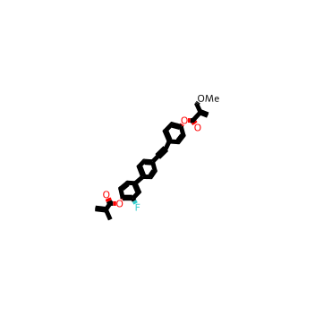 C=C(C)C(=O)Oc1ccc(-c2ccc(C#Cc3ccc(OC(=O)C(=C)COC)cc3)cc2)cc1F